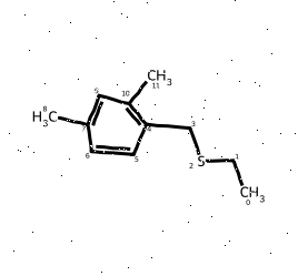 CCSCc1ccc(C)cc1C